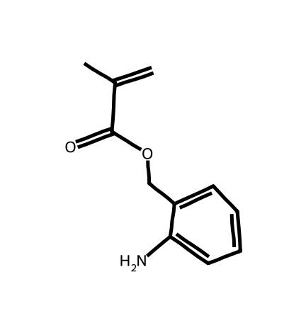 C=C(C)C(=O)OCc1ccccc1N